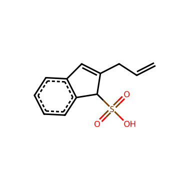 C=CCC1=Cc2ccccc2C1S(=O)(=O)O